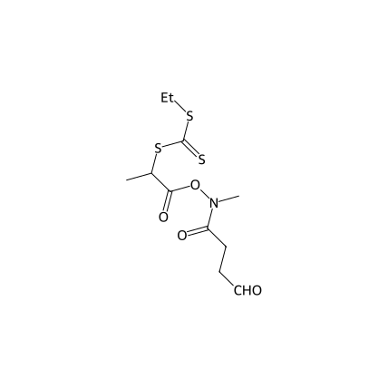 CCSC(=S)SC(C)C(=O)ON(C)C(=O)CCC=O